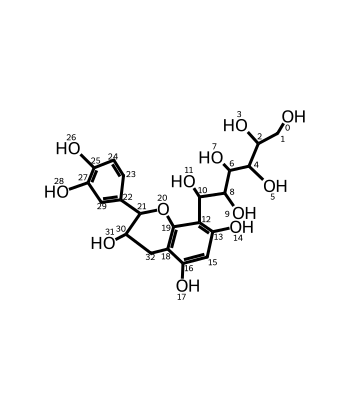 OCC(O)C(O)C(O)C(O)C(O)c1c(O)cc(O)c2c1OC(c1ccc(O)c(O)c1)C(O)C2